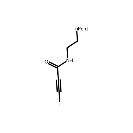 CCCCCCCNC(=O)C#CI